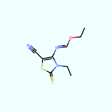 CCOC=Nc1c(C#N)sc(=S)n1CC